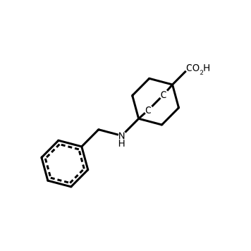 O=C(O)C12CCC(NCc3ccccc3)(CC1)CC2